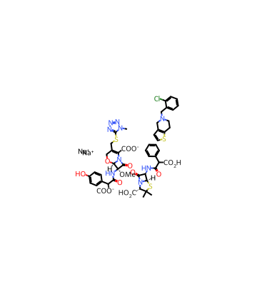 CC1(C)S[C@@H]2[C@H](NC(=O)C(C(=O)O)c3ccccc3)C(=O)N2[C@H]1C(=O)O.CO[C@@]1(NC(=O)C(C(=O)[O-])c2ccc(O)cc2)C(=O)N2C(C(=O)[O-])=C(CSc3nnnn3C)CO[C@@H]21.Clc1ccccc1CN1CCc2sccc2C1.[Na+].[Na+]